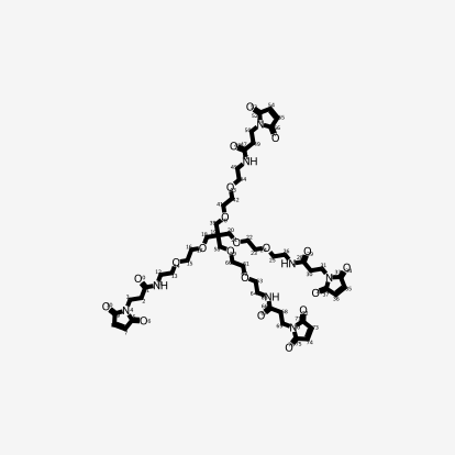 O=C(CCN1C(=O)C=CC1=O)NCCOCCOCC(COCCOCCNC(=O)CCN1C(=O)C=CC1=O)(COCCOCCNC(=O)CCN1C(=O)C=CC1=O)COCCOCCNC(=O)CCN1C(=O)C=CC1=O